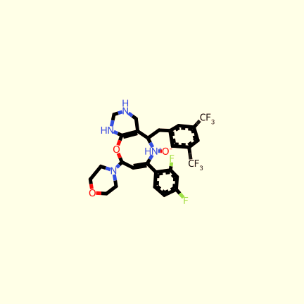 [O-][NH+]1/C(c2ccc(F)cc2F)=C\C(N2CCOCC2)OC2=C(CNCN2)C1Cc1cc(C(F)(F)F)cc(C(F)(F)F)c1